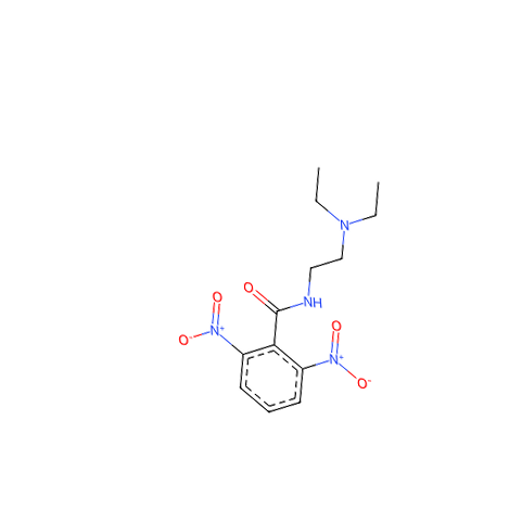 CCN(CC)CCNC(=O)c1c([N+](=O)[O-])cccc1[N+](=O)[O-]